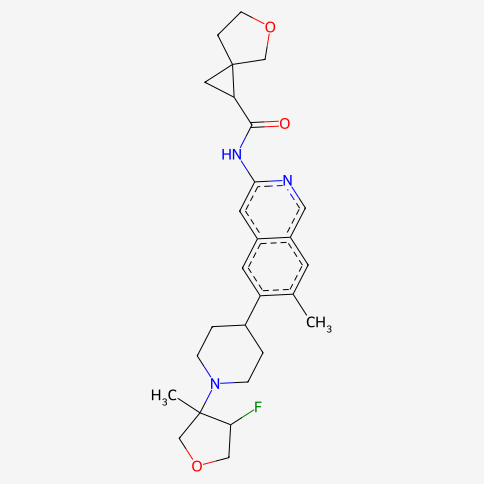 Cc1cc2cnc(NC(=O)C3CC34CCOC4)cc2cc1C1CCN(C2(C)COCC2F)CC1